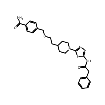 NC(=O)c1ccc(COCCC2CCN(c3nnc(NC(=O)Cc4ccccc4)s3)CC2)cc1